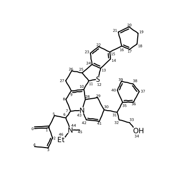 C=C(/C=C\C)CC(C1CC2=C(C3Sc4cc(C5=CCCC=C5)ccc4C3CC2)C2CC(C(CCO)c3ccccc3)C=CN21)N(C)CC